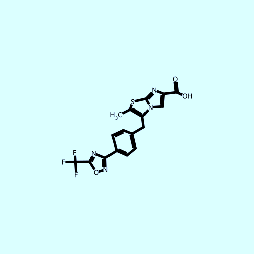 Cc1sc2nc(C(=O)O)cn2c1Cc1ccc(-c2noc(C(F)(F)F)n2)cc1